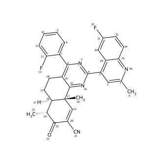 Cc1cc(-c2nc(-c3ccccc3F)c3c(n2)[C@]2(C)C=C(C#N)C(=O)[C@H](C)[C@H]2CC3)c2cc(F)ccc2n1